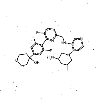 CC1CC(N)CN(c2ccncc2NCc2ccc(F)c(-c3c(F)cc(C4(O)CCOCC4)cc3F)n2)C1